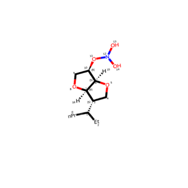 CCCC(CC)[C@H]1CO[C@H]2[C@@H]1OC[C@H]2ON(O)O